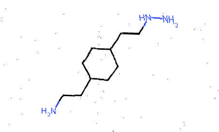 NCCC1CCC(CCNN)CC1